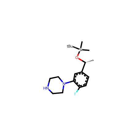 C[C@@H](O[Si](C)(C)C(C)(C)C)c1ccc(F)c(N2CCNCC2)c1